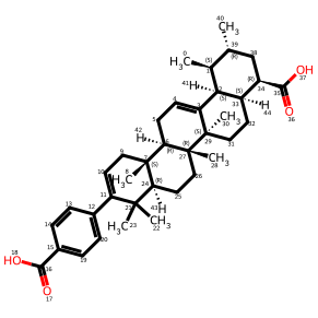 C[C@@H]1[C@@H]2C3=CC[C@@H]4[C@@]5(C)CC=C(c6ccc(C(=O)O)cc6)C(C)(C)[C@@H]5CC[C@@]4(C)[C@]3(C)CC[C@@H]2[C@H](C(=O)O)C[C@H]1C